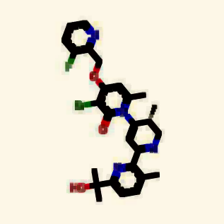 Cc1ccc(C(C)(C)O)nc1C1=NC[C@@H](C)C(n2c(C)cc(OCc3ncccc3F)c(Br)c2=O)=C1